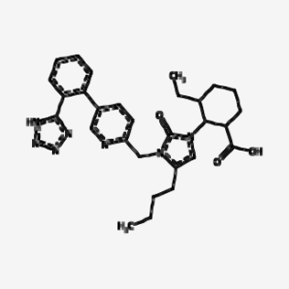 CCCCc1cn(C2C(CC)CCCC2C(=O)O)c(=O)n1Cc1ccc(-c2ccccc2-c2nnn[nH]2)cn1